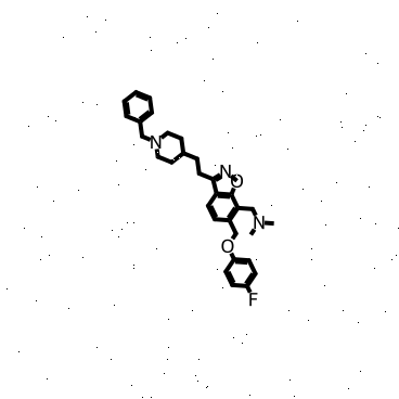 CN(C)Cc1c(COc2ccc(F)cc2)ccc2c(CCC3CCN(Cc4ccccc4)CC3)noc12